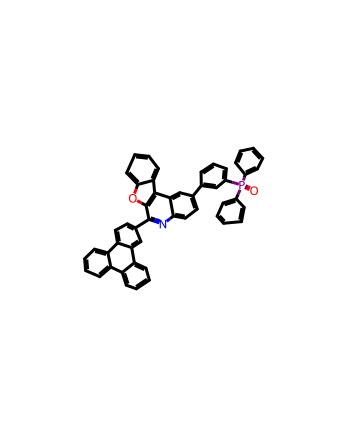 O=P(c1ccccc1)(c1ccccc1)c1cccc(-c2ccc3nc(-c4ccc5c6ccccc6c6ccccc6c5c4)c4oc5ccccc5c4c3c2)c1